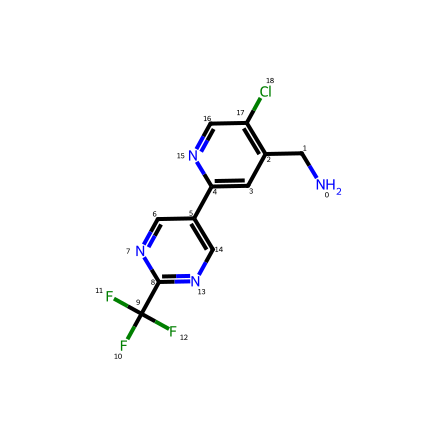 NCc1cc(-c2cnc(C(F)(F)F)nc2)ncc1Cl